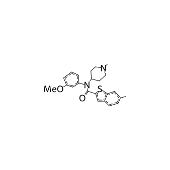 COc1cccc(N(C(=O)c2cc3ccc(C)cc3s2)C2CCN(C)CC2)c1